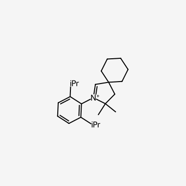 CC(C)c1cccc(C(C)C)c1[N+]1=CC2(CCCCC2)CC1(C)C